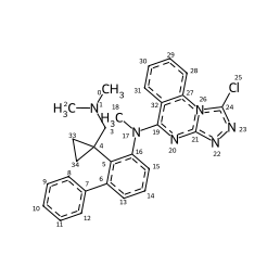 CN(C)CC1(c2c(-c3ccccc3)cccc2N(C)c2nc3nnc(Cl)n3c3ccccc23)CC1